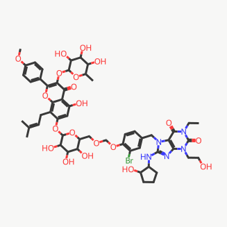 CCn1c(=O)c2c(nc(NC3CCCC3O)n2Cc2ccc(OCOCC3OC(Oc4cc(O)c5c(=O)c(OC6OC(C)C(O)C(O)C6O)c(-c6ccc(OC)cc6)oc5c4CC=C(C)C)C(O)C(O)C3O)c(Br)c2)n(CCO)c1=O